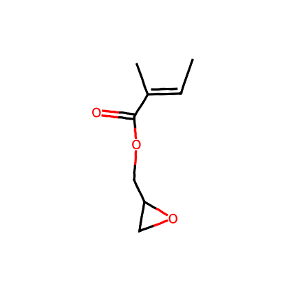 CC=C(C)C(=O)OCC1CO1